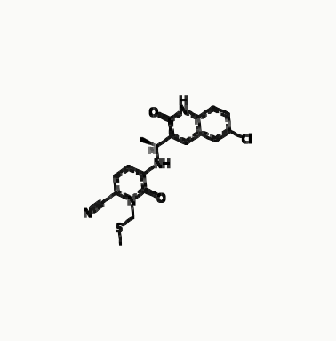 CSCn1c(C#N)ccc(N[C@@H](C)c2cc3cc(Cl)ccc3[nH]c2=O)c1=O